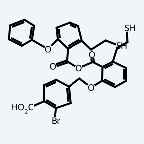 O=C(O)c1ccc(COc2cccc(CCS)c2C(=O)OC(=O)c2c(CCS)cccc2Oc2ccccc2)cc1Br